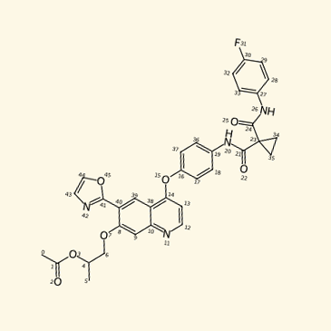 CC(=O)OC(C)COc1cc2nccc(Oc3ccc(NC(=O)C4(C(=O)Nc5ccc(F)cc5)CC4)cc3)c2cc1-c1ncco1